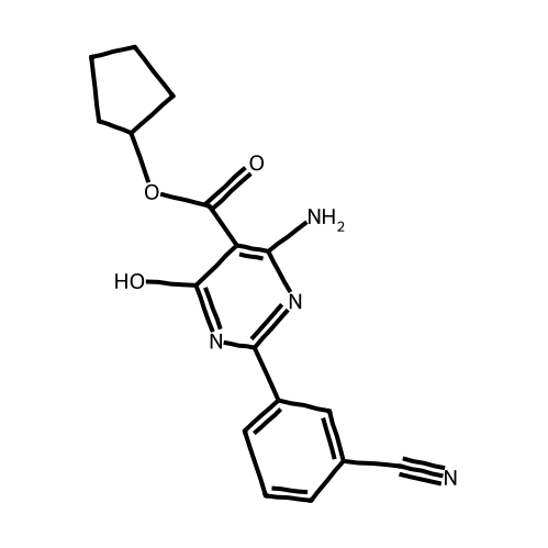 N#Cc1cccc(-c2nc(N)c(C(=O)OC3CCCC3)c(O)n2)c1